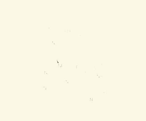 CC(C)COC(=O)N1CC[C@H](Nc2ncnc3ccc(-c4cnc(Cl)c(NS(=O)(=O)c5ccc(F)cc5F)c4)nc23)C1